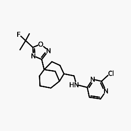 CC(C)(F)c1nc(C23CCCC(C2)C(CNc2ccnc(Cl)n2)CC3)no1